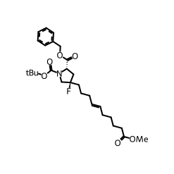 COC(=O)CCCC/C=C/CCC[C@@]1(F)C[C@@H](C(=O)OCc2ccccc2)N(C(=O)OC(C)(C)C)C1